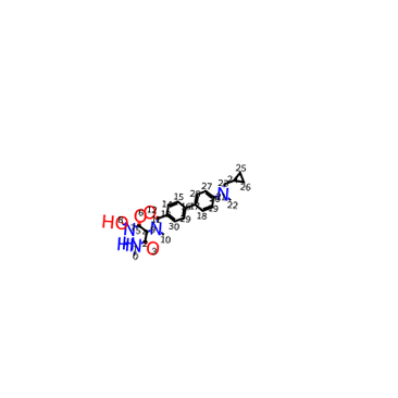 CNC(=O)C(C(=O)NO)N(C)C(=O)c1ccc(-c2ccc(N(C)CC3CC3)cc2)cc1